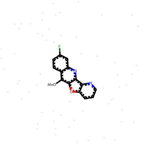 COc1c2ccc(F)cc2nc2c1oc1cccnc12